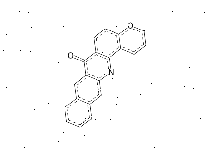 O=c1c2cc3ccccc3cc2nc2c1ccc1occcc12